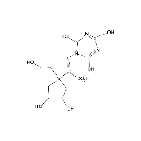 O=C(O)C(=CN1C(O)=NC(O)=NC1O)C(CCO)(CCO)CCO